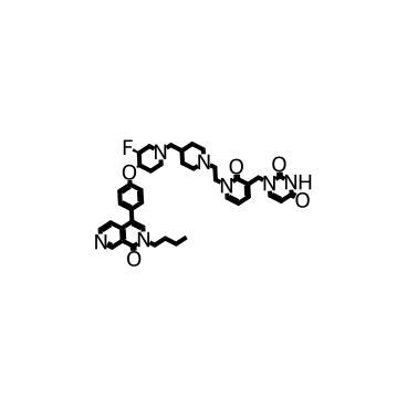 CCCCn1cc(-c2ccc(O[C@H]3CCN(CC4CCN(CCn5cccc(Cn6ccc(=O)[nH]c6=O)c5=O)CC4)C[C@@H]3F)cc2)c2ccncc2c1=O